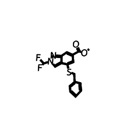 COC(=O)c1cc(SCc2ccccc2)c2cn(C(F)F)nc2c1